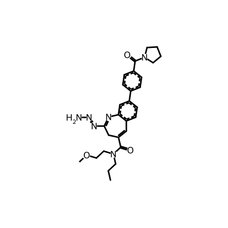 CCCN(CCOC)C(=O)C1=Cc2ccc(-c3ccc(C(=O)N4CCCC4)cc3)cc2N=C(N=NN)C1